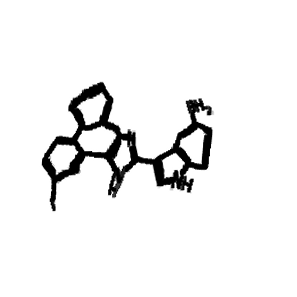 Bc1ccc2[nH]cc(-c3nc4c5ccccc5c5ccc(I)cc5c4[nH]3)c2c1